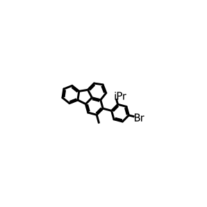 Cc1cc2c3c(cccc3c1-c1ccc(Br)cc1C(C)C)-c1ccccc1-2